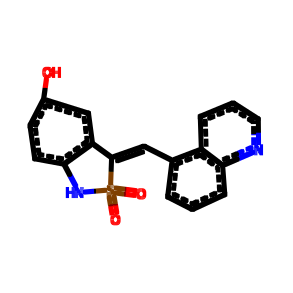 O=S1(=O)Nc2ccc(O)cc2C1=Cc1cccc2ncccc12